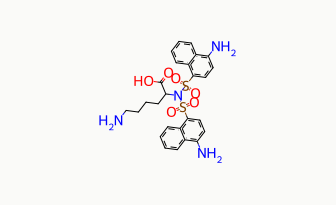 NCCCCC(C(=O)O)N(S(=O)(=O)c1ccc(N)c2ccccc12)S(=O)(=O)c1ccc(N)c2ccccc12